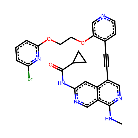 CNc1ncc(C#Cc2ccncc2OCCOc2cccc(Br)n2)c2cc(NC(=O)C3CC3)ncc12